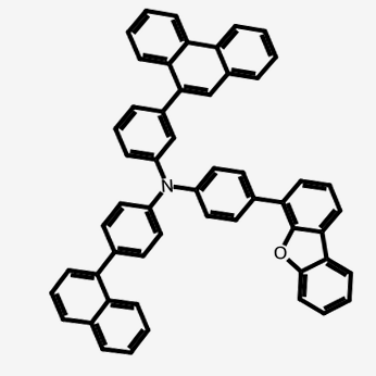 c1cc(-c2cc3ccccc3c3ccccc23)cc(N(c2ccc(-c3cccc4ccccc34)cc2)c2ccc(-c3cccc4c3oc3ccccc34)cc2)c1